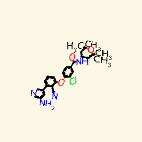 CC1(C)CC(NC(=O)c2ccc(Oc3cccc(-c4cncc(N)c4)c3C#N)c(Cl)c2)CC(C)(C)O1